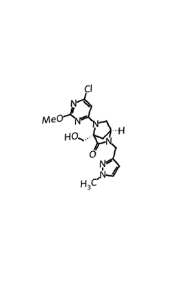 COc1nc(Cl)cc(N2C[C@@H]3C[C@@]2(CO)C(=O)N3Cc2ccn(C)n2)n1